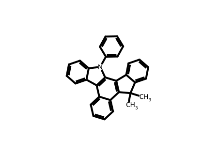 CC1(C)c2ccccc2-c2c1c1ccccc1c1c3ccccc3n(-c3ccccc3)c21